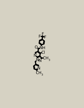 Cc1ccc(Cn2nc(C)c3c(Cl)c(C(=O)Nc4ccc(C(F)(F)F)cc4)cnc32)cn1